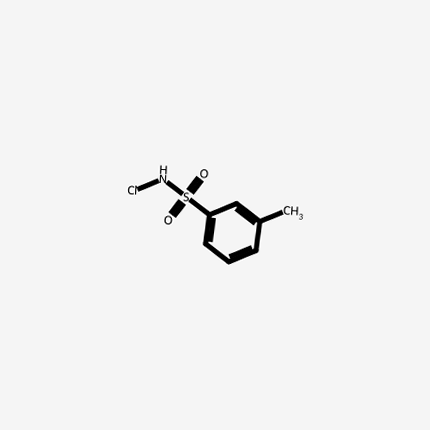 Cc1cccc(S(=O)(=O)NCl)c1